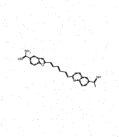 CC(=N)c1ccc2nc(/C=C/C=C/C=C/c3cc4cc(C(=N)N)ccc4o3)ccc2c1